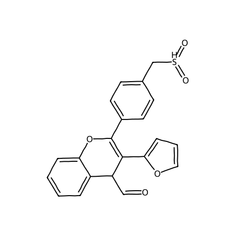 O=CC1C(c2ccco2)=C(c2ccc(C[SH](=O)=O)cc2)Oc2ccccc21